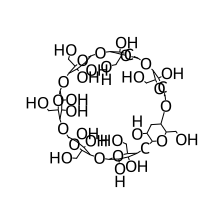 OCC1OC2CC3C(CO)OC(OC4C(CO)OC(OC5C(CO)OC(OC6C(CO)OC(OC7C(O)CC(OC7CO)OC7C(O)CC(OC1CC2O)OC7CO)C(O)C6O)C(O)C5O)C(O)C4O)C(O)C3O